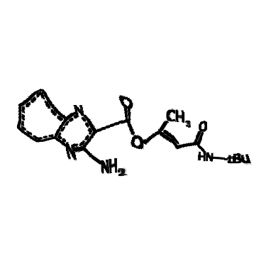 C/C(=C\C(=O)NC(C)(C)C)OC(=O)c1nc2ccccc2nc1N